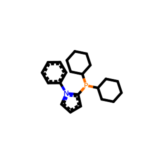 c1ccc(-n2cccc2P(C2CCCCC2)C2CCCCC2)cc1